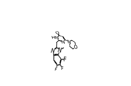 Cn1c(Cc2nc(N3CCOCC3)cc(=O)[nH]2)nc2cc(F)c(F)c(F)c21